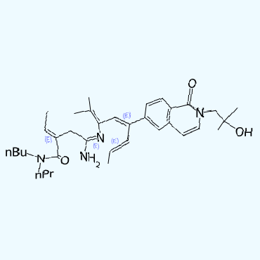 C/C=C/C(=C\C(/N=C(/N)C/C(=C\C)C(=O)N(CCC)CCCC)=C(C)C)c1ccc2c(=O)n(CC(C)(C)O)ccc2c1